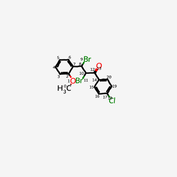 COc1ccccc1C(Br)C(Br)C(=O)c1ccc(Cl)cc1